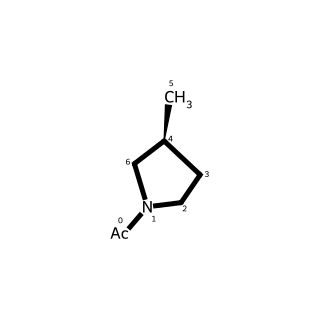 CC(=O)N1CC[C@H](C)C1